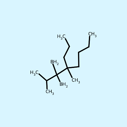 BC(B)(C(C)C)C(C)(CCC)CCCC